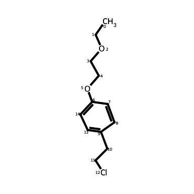 CCOCCOc1ccc(CCCl)cc1